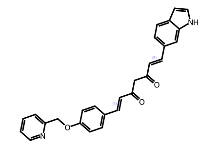 O=C(/C=C/c1ccc(OCc2ccccn2)cc1)CC(=O)/C=C/c1ccc2cc[nH]c2c1